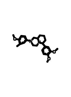 COc1ccc(N2CCN3C(CCCC3c3ccc(OC)c(OC)c3)C2)cc1C